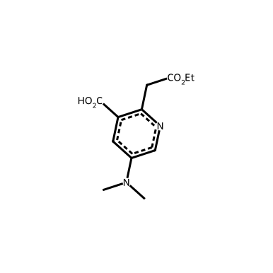 CCOC(=O)Cc1ncc(N(C)C)cc1C(=O)O